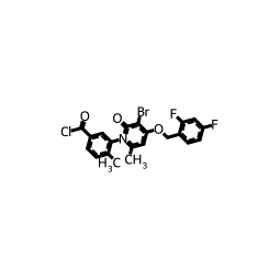 Cc1ccc(C(=O)Cl)cc1-n1c(C)cc(OCc2ccc(F)cc2F)c(Br)c1=O